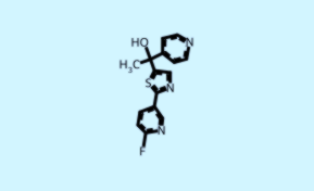 CC(O)(c1ccncc1)c1cnc(-c2ccc(F)nc2)s1